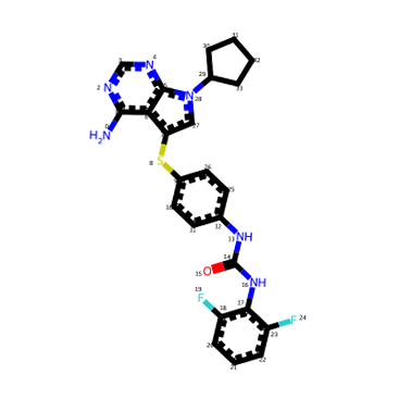 Nc1ncnc2c1c(Sc1ccc(NC(=O)Nc3c(F)cccc3F)cc1)cn2C1CCCC1